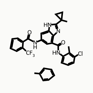 Cc1c(Cl)cccc1NC(=O)c1cc(NC(=O)c2ccccc2C(F)(F)F)cc2[nH]c(C3(C)CC3)nc12.Cc1ccccc1